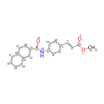 COC(=O)C=Cc1ccc(NC(=O)c2ccc3ccccc3c2)cc1